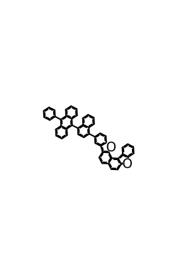 c1ccc(-c2c3ccccc3c(-c3ccc(-c4ccc5oc6c(ccc7ccc8oc9ccccc9c8c76)c5c4)c4ccccc34)c3ccccc23)cc1